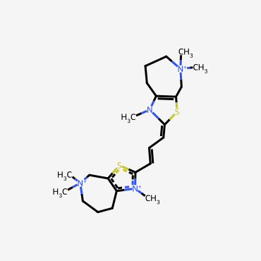 CN1C(=CC=Cc2sc3c([n+]2C)CCC[N+](C)(C)C3)SC2=C1CCC[N+](C)(C)C2